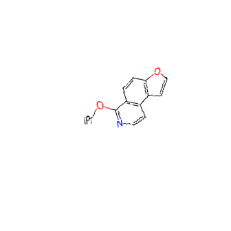 CC(C)Oc1nccc2c1ccc1occc12